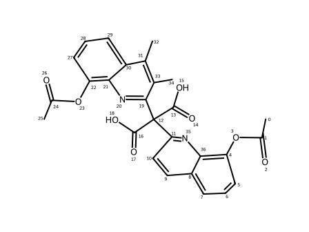 CC(=O)Oc1cccc2ccc(C(C(=O)O)(C(=O)O)c3nc4c(OC(C)=O)cccc4c(C)c3C)nc12